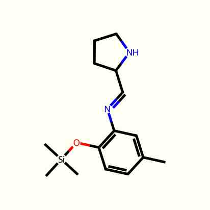 Cc1ccc(O[Si](C)(C)C)c(N=CC2CCCN2)c1